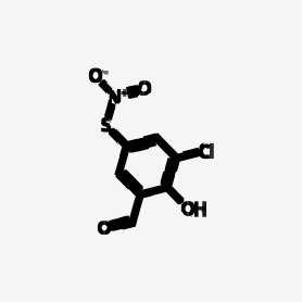 O=Cc1cc(S[N+](=O)[O-])cc(Cl)c1O